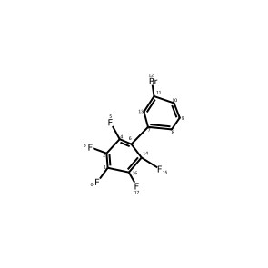 Fc1c(F)c(F)c(-c2cccc(Br)c2)c(F)c1F